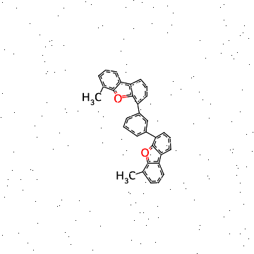 Cc1cccc2c1oc1c(-c3cccc(-c4cccc5c4oc4c(C)cccc45)c3)cccc12